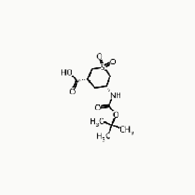 CC(C)(C)OC(=O)N[C@@H]1C[C@H](C(=O)O)CS(=O)(=O)C1